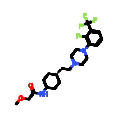 COCC(=O)N[C@H]1CC[C@H](CCN2CCN(c3cccc(C(F)(F)F)c3F)CC2)CC1